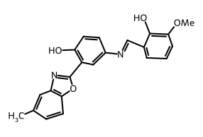 COc1cccc(/C=N/c2ccc(O)c(-c3nc4cc(C)ccc4o3)c2)c1O